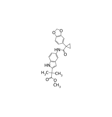 COC(=O)C(C)(C)c1cc2cc(NC(=O)C3(c4ccc5c(c4)OCO5)CC3)ccc2[nH]1